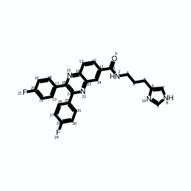 O=C(NCCCc1c[nH]cn1)c1ccc2nc(-c3ccc(F)cc3)c(-c3ccc(F)cc3)nc2c1